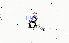 CC(C)Sc1cccc2c1CC(=O)N2